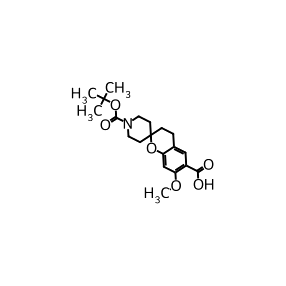 COc1cc2c(cc1C(=O)O)CCC1(CCN(C(=O)OC(C)(C)C)CC1)O2